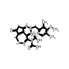 COc1c(C)cnc(CN2N=C3CC(=O)C4=C3C(=N2)C(N(C(=O)O)C(=O)O)=NSC4)c1C